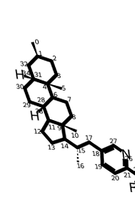 C[C@H]1CC[C@]2(C)C3CC[C@@]4(C)C(CCC4[C@@H](C)Cc4ccc(C(F)(F)F)nc4)[C@@H]3CC[C@@H]2C1